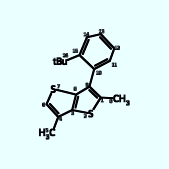 Cc1sc2c(C)csc2c1-c1ccccc1C(C)(C)C